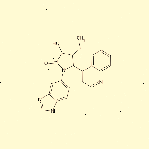 CCC1C(O)C(=O)N(c2ccc3[nH]cnc3c2)C1c1ccnc2ccccc12